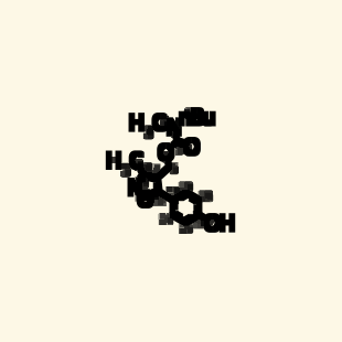 CCCCN(C)C(=O)OCc1c(C)noc1-c1ccc(O)cc1